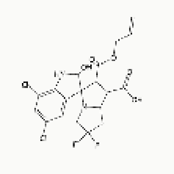 C=CCOC(=O)C1C(C(=O)O)C2CC(F)(F)CN2C12c1cc(Cl)cc(Cl)c1NC2O